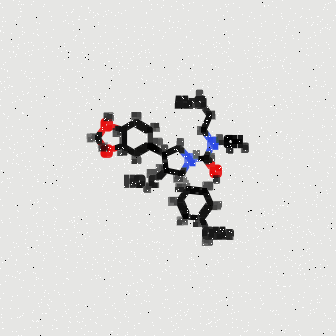 COCCN(C)C(=O)N1C[C@H](c2ccc3c(c2)OCO3)[C@H](C(=O)O)[C@H]1c1ccc(OC)cc1